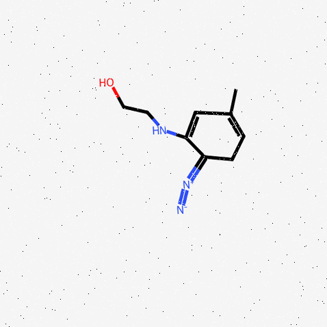 CC1=CCC(=[N+]=[N-])C(NCCO)=C1